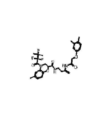 C=C(CCNC(=O)C1CN(C(=O)C(F)(F)C(C)(C)F)c2cc(C)ccc2O1)NC(=O)COc1ccc(C)c(C)c1